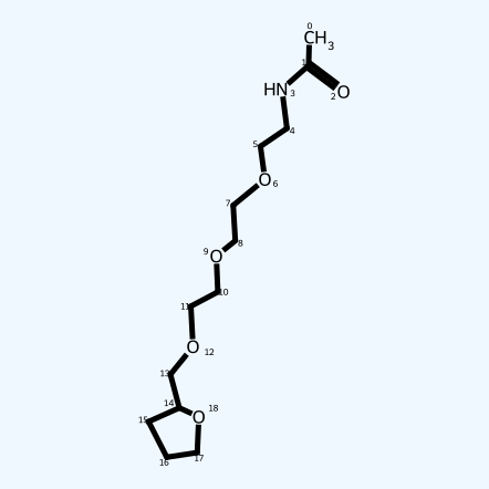 CC(=O)NCCOCCOCCOCC1CCCO1